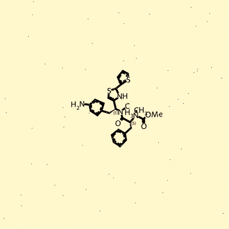 COC(=O)N(C)[C@@H](Cc1ccccc1)C(=O)N(C)[C@@H](Cc1ccc(N)cc1)C1=CSC(c2cccs2)N1